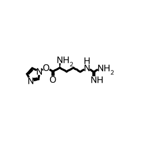 N=C(N)NCCC[C@H](N)C(=O)On1ccnc1